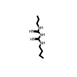 CCCCNC(=N)NC(=N)NCCC